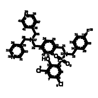 O=S(=O)(c1cc(Cl)cc(Cl)c1O)N(Cc1ccc(F)cc1)Cc1ccc(CN(Cc2ccncc2)Cc2ccncc2)cc1